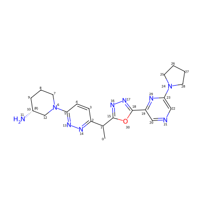 CC(c1ccc(N2CCC[C@@H](N)C2)nn1)c1nnc(-c2cncc(N3CCCC3)n2)o1